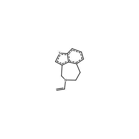 C=CN1CCc2cccc3scc(c23)C1